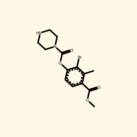 COC(=O)c1ccc(OC(=O)N2CCNCC2)c(Br)c1C